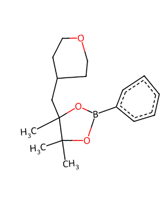 CC1(C)OB(c2ccccc2)OC1(C)CC1CCOCC1